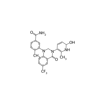 CC1=C(N2CN(c3cc(C(N)=O)ccc3C)c3ccc(C(F)(F)F)cc3C2=O)C=CC(O)N1